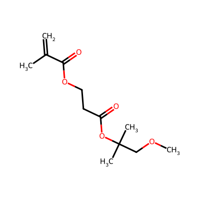 C=C(C)C(=O)OCCC(=O)OC(C)(C)COC